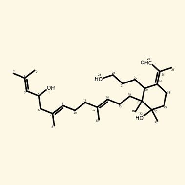 CC(C)=CC(O)C/C(C)=C/CC/C(C)=C/CCC1(C)C(CCCO)/C(=C(/C)C=O)CCC1(C)O